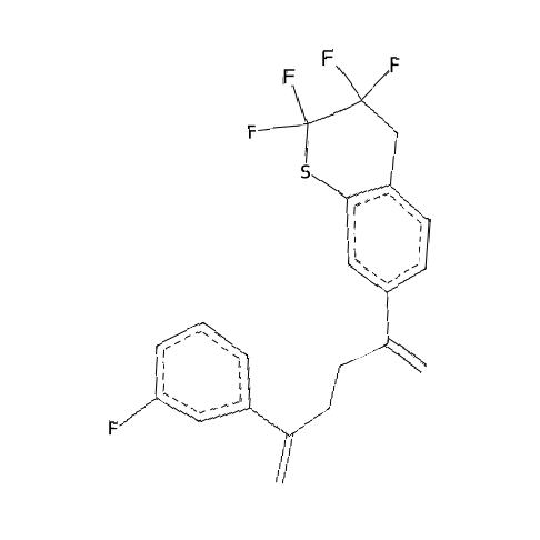 C=C(CCC(=C)c1ccc2c(c1)SC(F)(F)C(F)(F)C2)c1cccc(F)c1